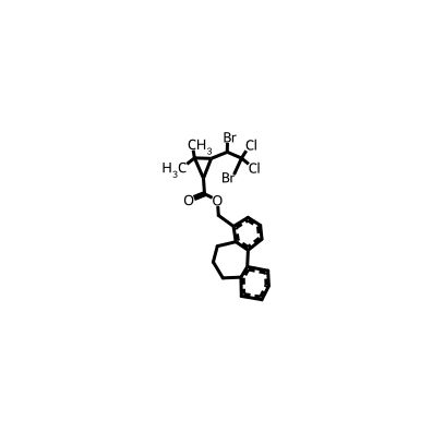 CC1(C)C(C(=O)OCc2cccc3c2CCCc2ccccc2-3)C1C(Br)C(Cl)(Cl)Br